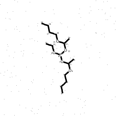 CCCCOC(C)OP(OCC)OC(C)OCCCC